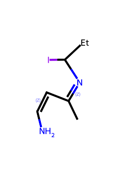 CCC(I)/N=C(C)\C=C/N